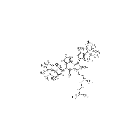 Cc1cc(C2=C3C(=C(CCC(C)CCCC(C)C)[N+]2=O)C(=O)C(c2cc(C)c([Si](C(C)C)(C(C)C)C(C)C)s2)c2nsnc23)sc1[Si](C(C)C)(C(C)C)C(C)C